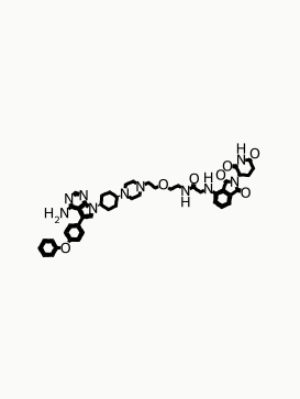 Nc1ncnc2c1c(-c1ccc(Oc3ccccc3)cc1)cn2[C@H]1CC[C@@H](N2CCN(CCOCCNC(=O)CNc3cccc4c3C(=O)N(C3CCC(=O)NC3=O)C4=O)CC2)CC1